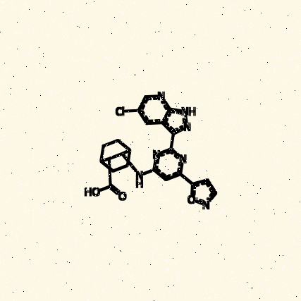 O=C(O)C1C2CCC(CC2)C1Nc1cc(-c2ccno2)nc(-c2n[nH]c3ncc(Cl)cc23)n1